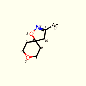 CC(=O)C1=NOC2(CCOCC2)C1